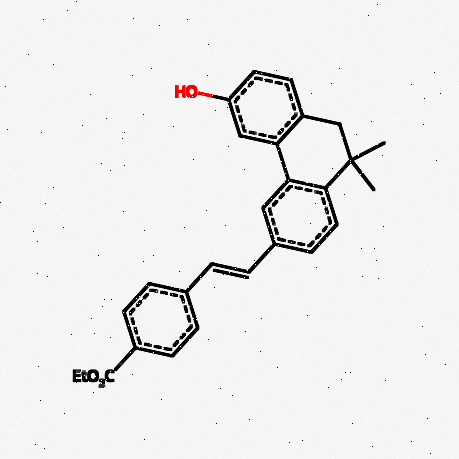 CCOC(=O)c1ccc(C=Cc2ccc3c(c2)-c2cc(O)ccc2CC3(C)C)cc1